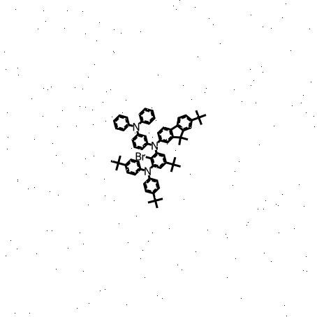 CC(C)(C)c1ccc(N(c2ccc(C(C)(C)C)cc2)c2cc(C(C)(C)C)cc(N(c3cccc(N(c4ccccc4)c4ccccc4)c3)c3ccc4c(c3)C(C)(C)c3cc(C(C)(C)C)ccc3-4)c2Br)cc1